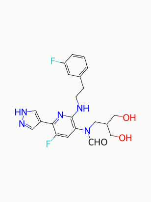 O=CN(CC(CO)CO)c1cc(F)c(-c2cn[nH]c2)nc1NCCc1cccc(F)c1